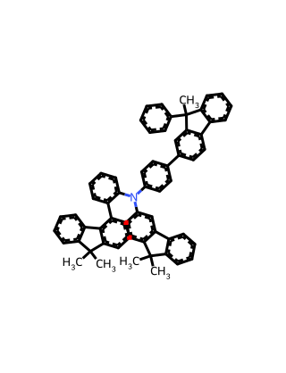 CC1(C)c2ccccc2-c2cc(N(c3ccc(-c4ccc5c(c4)C(C)(c4ccccc4)c4ccccc4-5)cc3)c3ccccc3-c3cccc4c3-c3ccccc3C4(C)C)ccc21